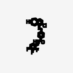 O=C(NCc1ccc(F)c(F)c1F)c1ccc(CSc2c(Cl)ccc3c2CCNCC3)cc1